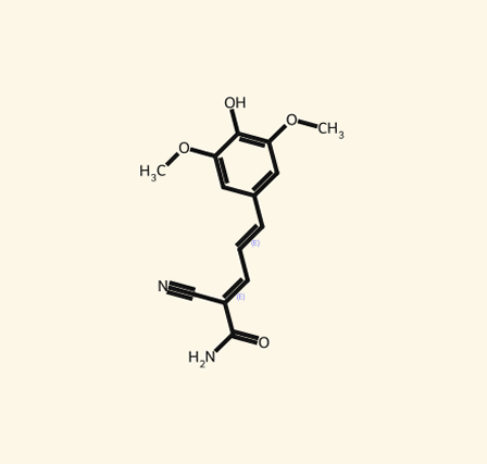 COc1cc(/C=C/C=C(\C#N)C(N)=O)cc(OC)c1O